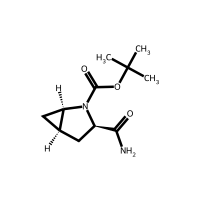 CC(C)(C)OC(=O)N1[C@@H](C(N)=O)C[C@H]2C[C@H]21